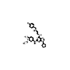 Cl.Cl.Cl.NC1CCC(Nc2nc(NCCNCc3ccc(F)cc3)c3ncn(C4CCCC4)c3n2)CC1